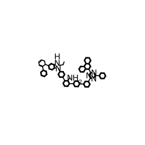 CCC1Nc2cc(C3CC=CC=C3c3ccccc3)ccc2N1c1ccc(-c2cccc(-c3ccc(-c4cccc(-c5nc(-c6ccccc6)nc(-c6cc7ccccc7c7ccccc67)n5)c4)cc3)c2N)cc1